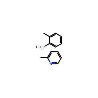 Cc1ccccc1S(=O)(=O)O.Cc1ccccn1